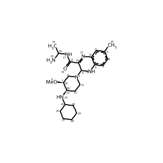 CO[C@H]1CN(C2Nc3ccc(C)cc3N=C2C(=O)NC(C)N)CC[C@H]1NC1CCCCC1